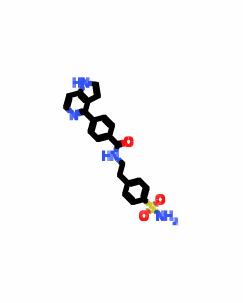 NS(=O)(=O)c1ccc(CCNC(=O)c2ccc(-c3nccc4[nH]ccc34)cc2)cc1